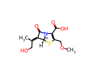 COCC1=C(C(=O)O)N2C(=O)C(=C(C)CO)[C@H]2S1